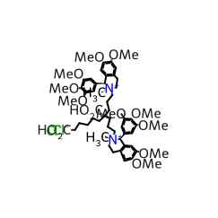 COc1cc2c(cc1OC)[C@H](c1cc(OC)c(OC)c(OC)c1)[N@@+](C)(CCCC(CCCCCC(=O)O)(CCC[N@+]1(C)CCc3cc(OC)c(OC)cc3[C@@H]1c1cc(OC)c(OC)c(OC)c1)C(=O)O)CC2.[Cl-].[Cl-]